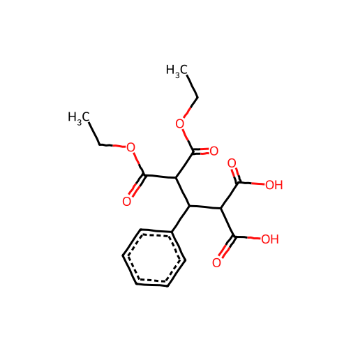 CCOC(=O)C(C(=O)OCC)C(c1ccccc1)C(C(=O)O)C(=O)O